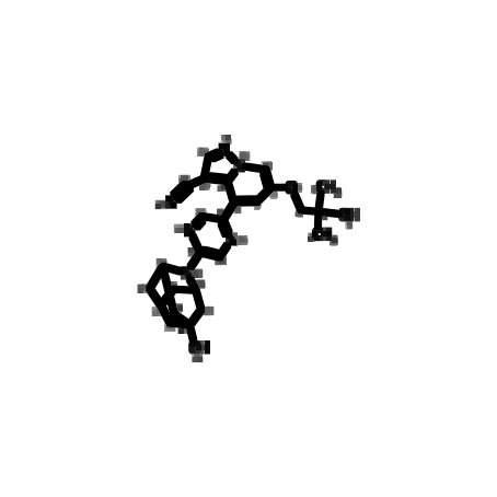 CC(C)(O)COc1cc(-c2cnc(N3C4CC5CC3CC(O)(C5)C4)cn2)c2c(C#N)cnn2c1